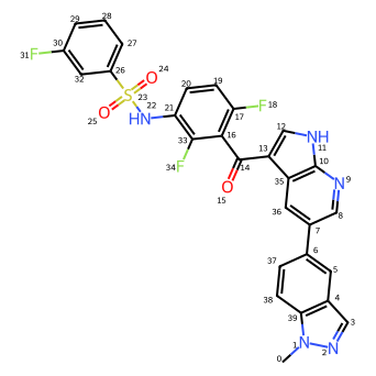 Cn1ncc2cc(-c3cnc4[nH]cc(C(=O)c5c(F)ccc(NS(=O)(=O)c6cccc(F)c6)c5F)c4c3)ccc21